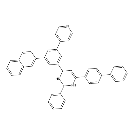 C1=C(c2ccc(-c3ccccc3)cc2)NC(c2ccccc2)NC1c1cc(-c2ccncc2)cc(-c2ccc3ccccc3c2)c1